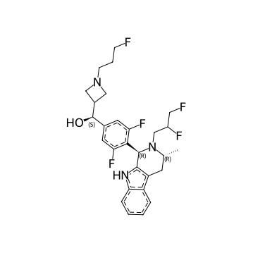 C[C@@H]1Cc2c([nH]c3ccccc23)[C@@H](c2c(F)cc([C@@H](O)C3CN(CCCF)C3)cc2F)N1CC(F)CF